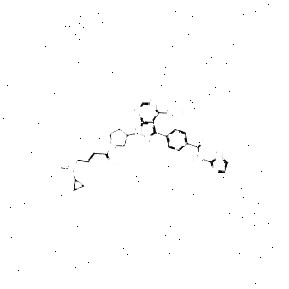 CN(C/C=C/C(=O)N1CCC(n2nc(-c3ccc(C(=O)Nc4nccs4)cc3)c3c(N)ncnc32)C1)C1CC1